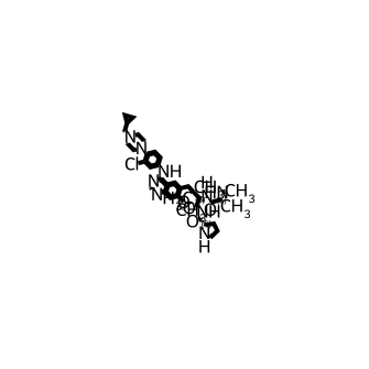 CN[C@@H](C)C(=O)N[C@H](C(=O)NC(=O)[C@@H]1CCCN1)C(C)(C)Cc1cc2c(Nc3ccc(N4CCN(CC5CC5)CC4)c(Cl)c3)ncnc2cc1OC